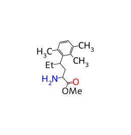 CCC(CC(N)C(=O)OC)c1c(C)ccc(C)c1C